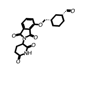 O=C[C@@H]1CCC[C@H](COc2cccc3c2C(=O)N(C2CCC(=O)NC2=O)C3=O)C1